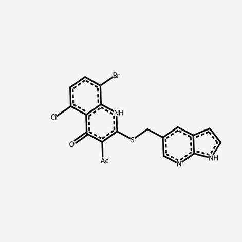 CC(=O)c1c(SCc2cnc3[nH]ccc3c2)[nH]c2c(Br)ccc(Cl)c2c1=O